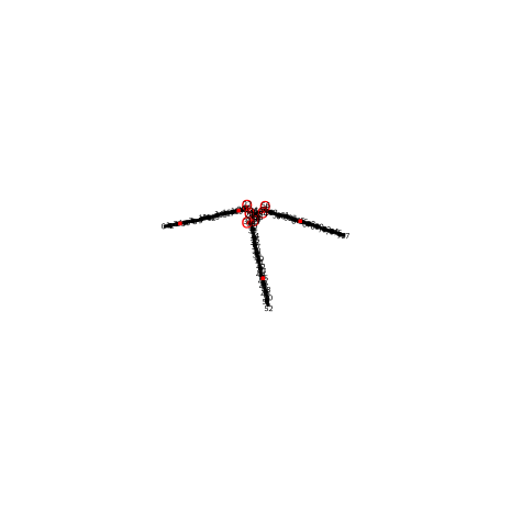 CC#CC#CC#CC#CC#CC#CC#CC#CC#CC#CC(=O)OCC(CC)(COC(=O)C#CC#CC#CC#CC#CC#CC#CC#CC#CC#CC)COC(=O)C#CC#CC#CC#CC#CC#CC#CC#CC#CC#CC